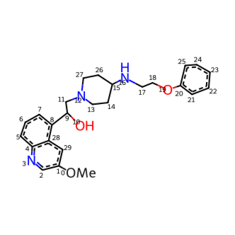 COc1cnc2cccc(C(O)CN3CCC(NCCOc4ccccc4)CC3)c2c1